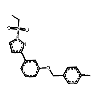 CCS(=O)(=O)n1ccc(-c2cccc(OCc3ccc(C)cc3)c2)n1